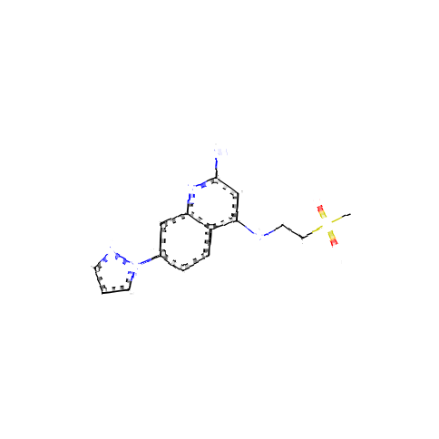 CS(=O)(=O)CCNc1cc(N)nc2cc(-n3cccn3)ccc12